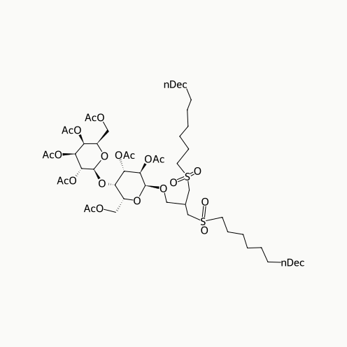 CCCCCCCCCCCCCCCCS(=O)(=O)CC(CO[C@H]1O[C@H](COC(C)=O)[C@H](O[C@@H]2O[C@H](COC(C)=O)[C@H](OC(C)=O)[C@H](OC(C)=O)[C@H]2OC(C)=O)[C@H](OC(C)=O)[C@H]1OC(C)=O)CS(=O)(=O)CCCCCCCCCCCCCCCC